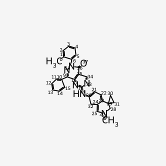 Cc1ccccc1-n1nc(-c2ccccc2)c2nc(NC3=CC=C4C(=CN(C)CC45CC5)C3)ncc2c1=O